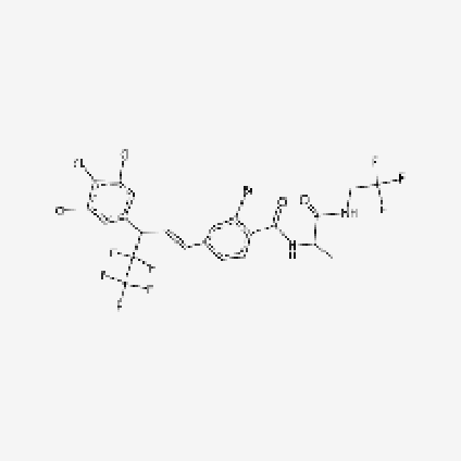 CC(NC(=O)c1ccc(/C=C/C(c2cc(Cl)c(Cl)c(Cl)c2)C(F)(F)C(F)(F)F)cc1Br)C(=O)NCC(F)(F)F